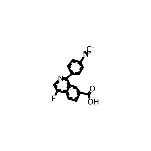 [C-]#[N+]c1ccc(-c2ncc(F)c3ccc(C(=O)O)cc23)cc1